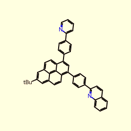 CC(C)(C)c1cc2ccc3c(-c4ccc(-c5ccccn5)cc4)cc(-c4ccc(-c5ccc6ccccc6n5)cc4)c4ccc(c1)c2c34